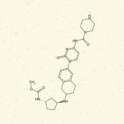 COC(=O)N[C@H]1CC[C@H](NC2CCc3cc(-n4ccc(NC(=O)N5CCNCC5)nc4=O)ccc3C2)C1